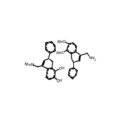 CNCC1=CC(c2ccccc2)Cc2c1ccc(O)c2O.COc1ccc2c(c1OC)CC(c1ccccc1)C=C2CN